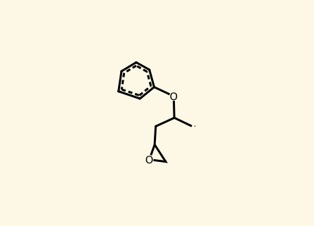 [CH2]C(CC1CO1)Oc1ccccc1